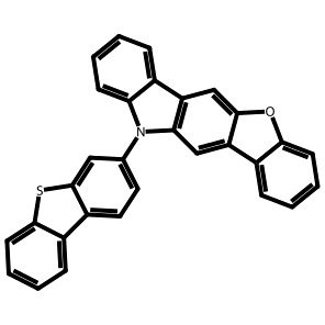 c1ccc2c(c1)oc1cc3c4ccccc4n(-c4ccc5c(c4)sc4ccccc45)c3cc12